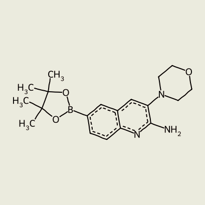 CC1(C)OB(c2ccc3nc(N)c(N4CCOCC4)cc3c2)OC1(C)C